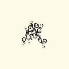 COc1ccc([C@H]2O[C@H](COC(C)=O)[C@@H](OC(C)=O)[C@H](OC(C)=O)[C@@H]2OC(C)=O)cc1